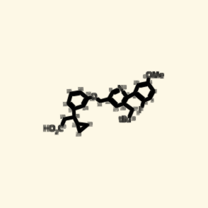 COc1ccc(F)c(-c2ncc(COc3cccc(C(CC(=O)O)C4CC4)c3)cc2CC(C)(C)C)c1